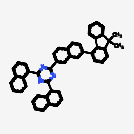 CC1(C)c2ccccc2-c2c(-c3ccc4ccc(-c5nc(-c6cccc7ccccc67)nc(-c6cccc7ccccc67)n5)cc4c3)cccc21